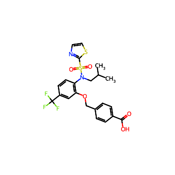 CC(C)CN(c1ccc(C(F)(F)F)cc1OCc1ccc(C(=O)O)cc1)S(=O)(=O)c1nccs1